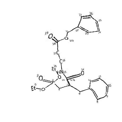 CCOP(=O)(CC(Cc1ccccc1)C(=O)NCCC(=O)OCc1ccccc1)OCC